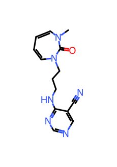 CN1C=CC=CN(CCCNc2ncncc2C#N)C1=O